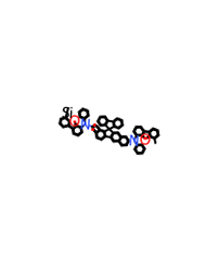 Cc1cccc2c1oc1c(N(c3ccccc3)c3ccc4cc5c(cc4c3)C3(c4ccccc4-c4ccccc43)c3c-5ccc4cc(N(c5ccccc5)c5cccc6c5oc5c([Si](C)(C)C)cccc56)ccc34)cccc12